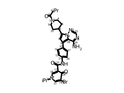 CC(C)C(=O)N1CCC(c2cc(-c3ccc(NC(=O)c4cn(C(C)C)cc(Br)c4=O)cc3)c3c(N)ncnn23)CC1